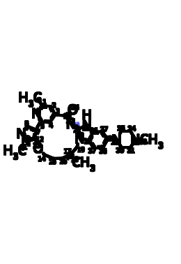 Cc1cc2cc(n1)-c1cnn(C)c1OCCC[C@@H](C)CN1/C(=N/C2=O)Nc2cc(N3CCN(C)CC3)ccc21